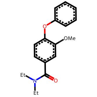 CCN(CC)C(=O)c1ccc(Oc2ccccc2)c(OC)c1